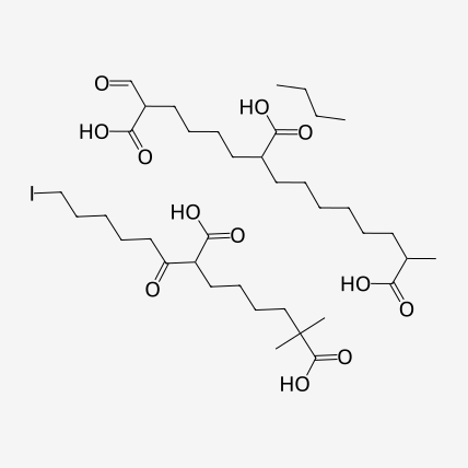 CC(C)(CCCCC(C(=O)O)C(=O)CCCCCI)C(=O)O.CC(CCCCCCC(CCCCC(C=O)C(=O)O)C(=O)O)C(=O)O.CCCC